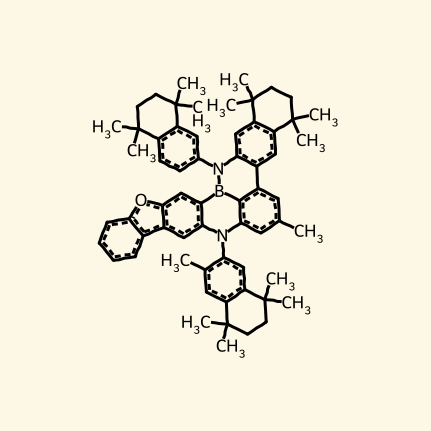 Cc1cc2c3c(c1)N(c1cc4c(cc1C)C(C)(C)CCC4(C)C)c1cc4c(cc1B3N(c1ccc3c(c1)C(C)(C)CCC3(C)C)c1cc3c(cc1-2)C(C)(C)CCC3(C)C)oc1ccccc14